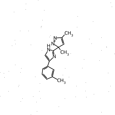 CC1=CC(C)(c2nc(-c3cccc(C)c3)c[nH]2)N=N1